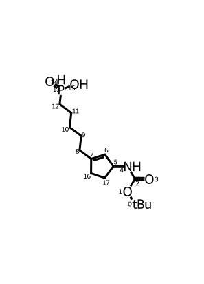 CC(C)(C)OC(=O)NC1C=C(CCCCC[PH](=O)O)CC1